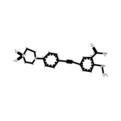 CNc1ccc(C#Cc2ccc(N3CCS(=O)(=O)CC3)cc2)cc1C(=O)O